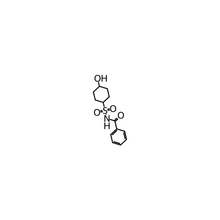 O=C(NS(=O)(=O)C1CCC(O)CC1)c1ccccc1